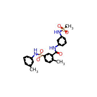 Cc1cccc(NS(=O)(=O)c2ccc(C)c(C(=O)Nc3cccc(NS(C)(=O)=O)c3)c2)c1